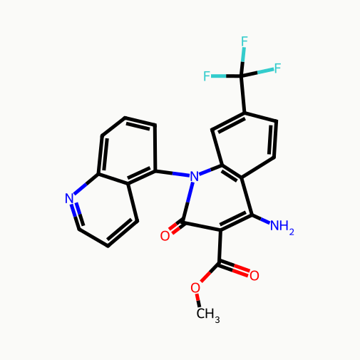 COC(=O)c1c(N)c2ccc(C(F)(F)F)cc2n(-c2cccc3ncccc23)c1=O